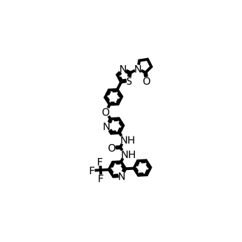 O=C(Nc1ccc(Oc2ccc(-c3cnc(N4CCCC4=O)s3)cc2)nc1)Nc1cc(C(F)(F)F)cnc1-c1ccccc1